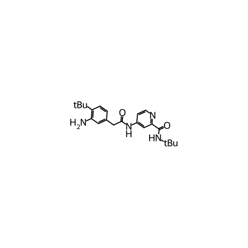 CC(C)(C)NC(=O)c1cc(NC(=O)Cc2ccc(C(C)(C)C)c(N)c2)ccn1